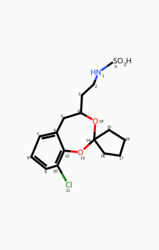 O=S(=O)(O)NCCC1Cc2cccc(Cl)c2OC2(CCCC2)O1